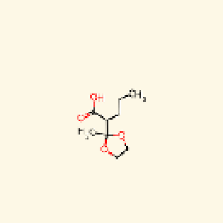 CCCC(C(=O)O)C1(C)OCCO1